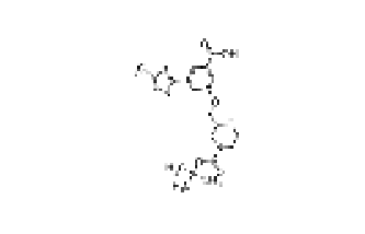 Cc1cnc(-c2cc(OC[C@@H]3CN(C(=O)OC(C)(C)C)CCO3)cc(C(=O)O)c2)s1